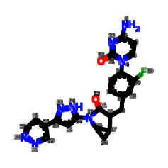 Nc1ccn(-c2ccc(CC3C(=O)N(c4cc(-c5ccnnc5)n[nH]4)C4CC34)cc2F)c(=O)n1